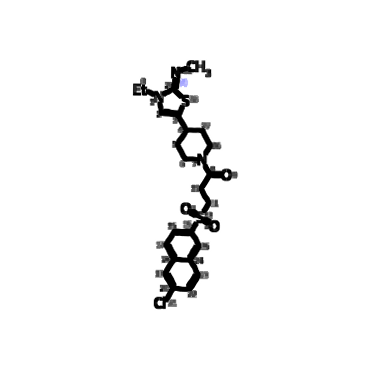 CCn1cc(C2CCN(C(=O)CCS(=O)(=O)c3ccc4cc(Cl)ccc4c3)CC2)s/c1=N\C